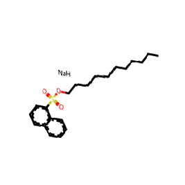 CCCCCCCCCCCOS(=O)(=O)c1cccc2ccccc12.[NaH]